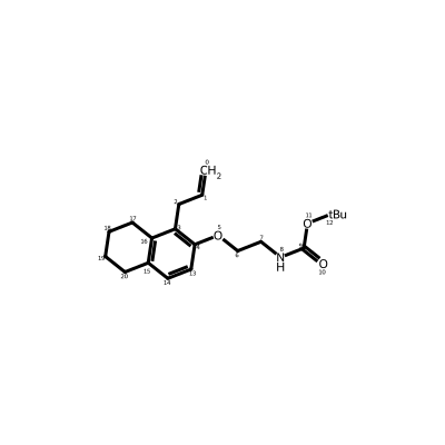 C=CCc1c(OCCNC(=O)OC(C)(C)C)ccc2c1CCCC2